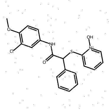 COc1ccc(NC(=O)C(Sc2cccc[n+]2O)c2ccccc2)cc1Cl